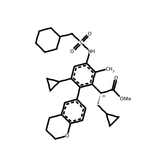 COC(=O)[C@H](CC1CC1)c1c(C)c(NS(=O)(=O)CC2CCCCC2)cc(C2CC2)c1-c1ccc2c(c1)CCCO2